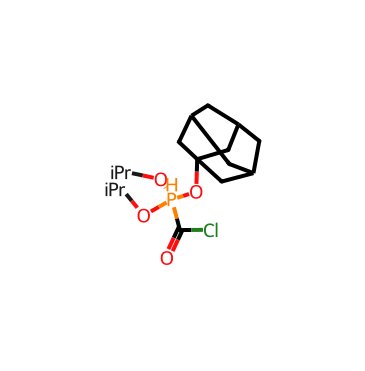 CC(C)O[PH](OC(C)C)(OC12CC3CC(CC(C3)C1)C2)C(=O)Cl